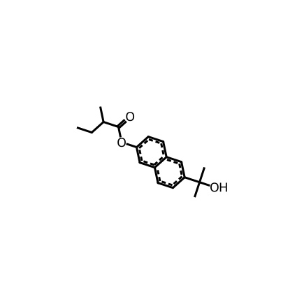 CCC(C)C(=O)Oc1ccc2cc(C(C)(C)O)ccc2c1